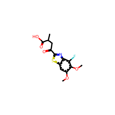 COc1cc2sc(C(=O)CC(C)C(=O)O)nc2c(F)c1OC